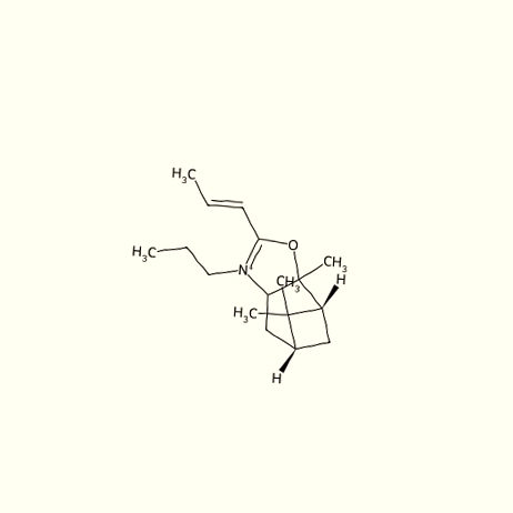 C/C=C/C1=[N+](CCC)C2C[C@H]3C[C@@H](C2(C)O1)C3(C)C